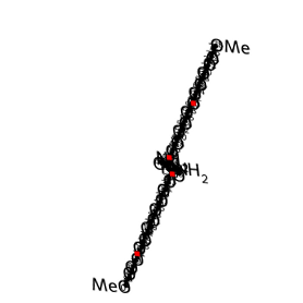 COCCCOCOCCOCCOCCOCCOCCOCCOCCOCCOCCOCCc1nc(C(N)=O)c(CCOCCOCCOCCOCCOCCOCCOCCOCCOCCOCOCCCOC)nc1C(N)=O